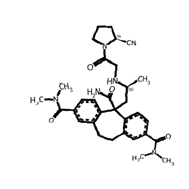 C[C@@H](CC1(C(N)=O)c2ccc(C(=O)N(C)C)cc2CCc2cc(C(=O)N(C)C)ccc21)NCC(=O)N1CCC[C@H]1C#N